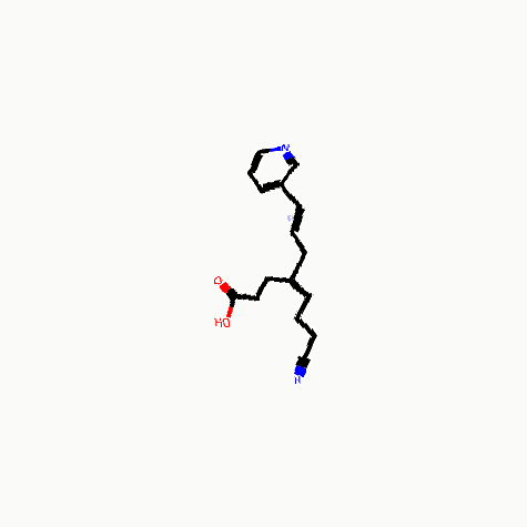 N#CCCCC(C/C=C/c1cccnc1)CCC(=O)O